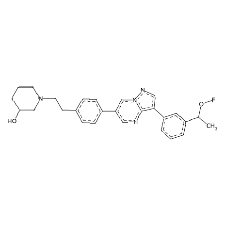 CC(OF)c1cccc(-c2cnn3cc(-c4ccc(CCN5CCCC(O)C5)cc4)cnc23)c1